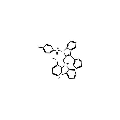 COc1ccccc1P(=O)(Cc1c(-c2ccccc2)c2ccccc2n1S(=O)(=O)c1ccc(C)cc1)c1ccccc1OC